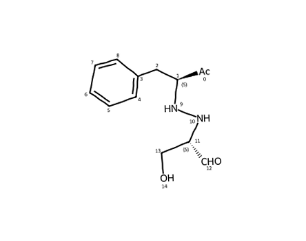 CC(=O)[C@H](Cc1ccccc1)NN[C@H](C=O)CO